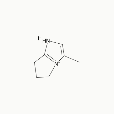 Cc1c[nH]c2[n+]1CCC2.[I-]